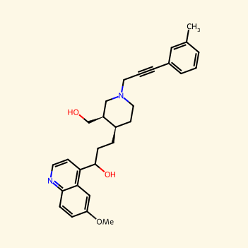 COc1ccc2nccc(C(O)CC[C@@H]3CCN(CC#Cc4cccc(C)c4)C[C@@H]3CO)c2c1